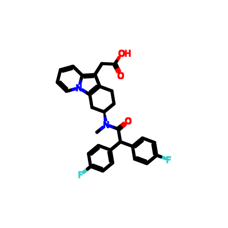 CN(C(=O)C(c1ccc(F)cc1)c1ccc(F)cc1)[C@@H]1CCc2c(CC(=O)O)c3ccccn3c2C1